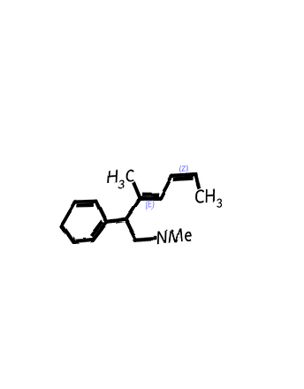 C/C=C\C=C(/C)C(CNC)C1=CCCC=C1